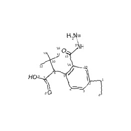 CCc1ccc(C(C(=O)O)C(C)(C)C)c(C(=O)NN)c1